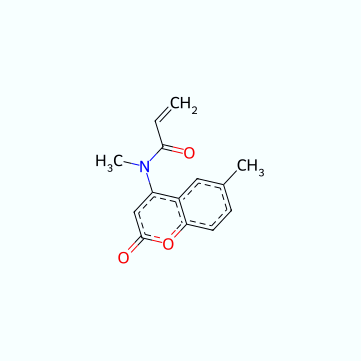 C=CC(=O)N(C)c1cc(=O)oc2ccc(C)cc12